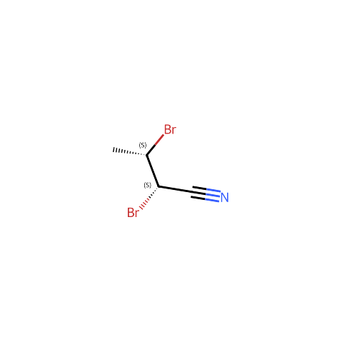 C[C@H](Br)[C@@H](Br)C#N